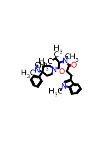 CC(C)C(C(=O)N1CCC(c2ccccc2)(N(C)C)CC1)N(C)C(=O)CCc1cn(C)c2ccccc12